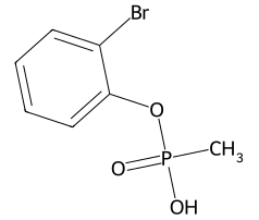 CP(=O)(O)Oc1ccccc1Br